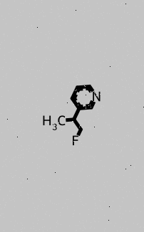 CC(CF)c1cccnc1